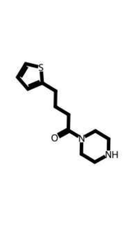 O=C(CCCc1cccs1)N1CCNCC1